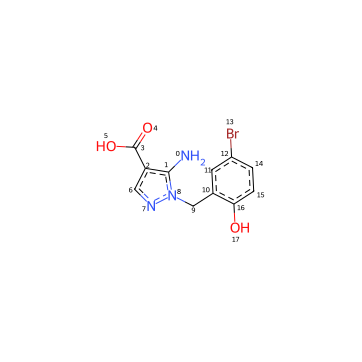 Nc1c(C(=O)O)cnn1Cc1cc(Br)ccc1O